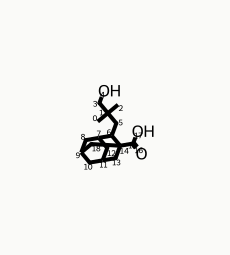 CC(C)(CO)CC1C2CC3CC(C2)CC1(C(=O)O)C3